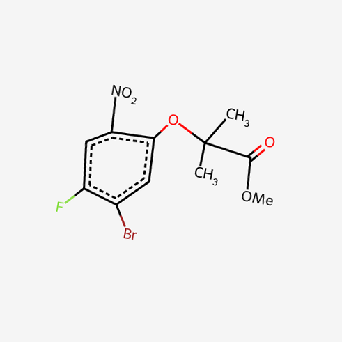 COC(=O)C(C)(C)Oc1cc(Br)c(F)cc1[N+](=O)[O-]